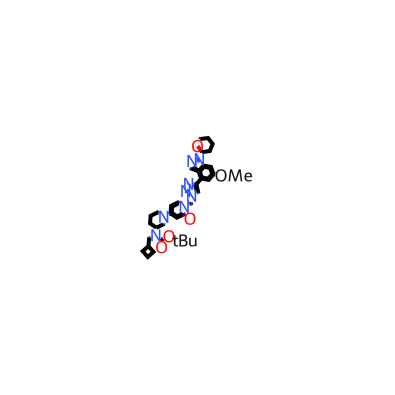 COc1cc(-c2cn(Cn3ccc(N4CCCC(N(CC5CCC5)C(=O)OC(C)(C)C)C4)cc3=O)nn2)c2cnn(C3CCCCO3)c2c1